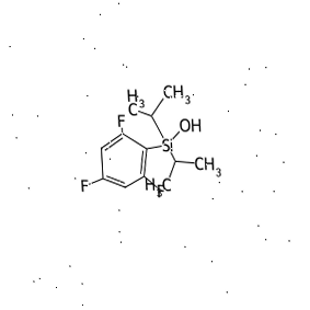 CC(C)[Si](O)(c1c(F)cc(F)cc1F)C(C)C